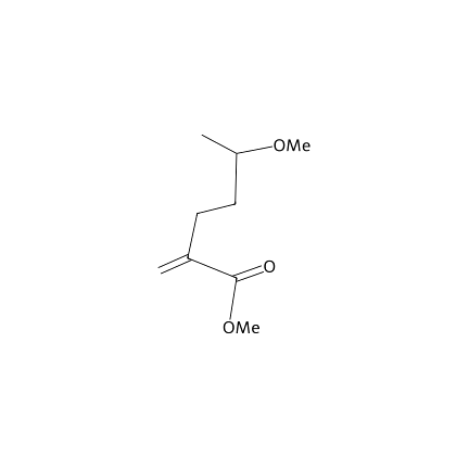 C=C(CCC(C)OC)C(=O)OC